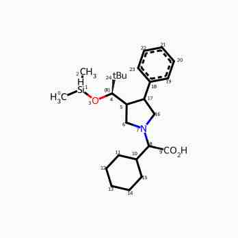 C[SiH](C)O[C@H](C1CN(C(C(=O)O)C2CCCCC2)CC1c1ccccc1)C(C)(C)C